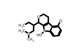 CCC(CN(C)C)C1OCCc2c1n(O)c1cccc(Cl)c21